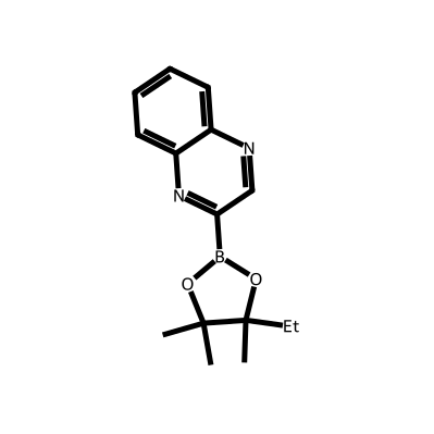 CCC1(C)OB(c2cnc3ccccc3n2)OC1(C)C